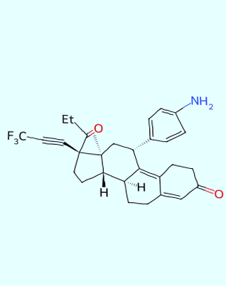 CCC(=O)[C@@]1(C#CC(F)(F)F)CC[C@H]2[C@@H]3CCC4=CC(=O)CCC4=C3[C@@H](c3ccc(N)cc3)C[C@@]21C